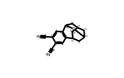 N#Cc1cc2c(cc1C#N)C1CC3CC(CC2C3)C1